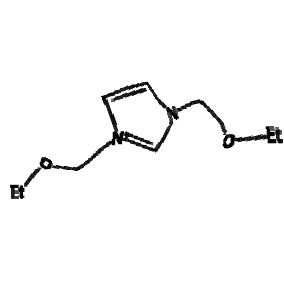 CCOCn1cc[n+](COCC)c1